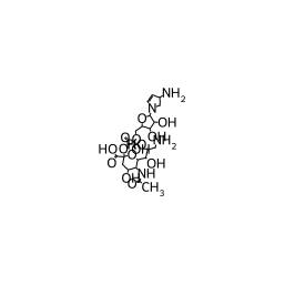 CC(=O)NC1C(O)CC(OP(=O)(O)OCC2OC(N3C=CC(N)C3)C(O)C2O)(C(=O)O)OC1[C@H](O)[C@H](O)CN